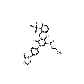 CCOC(=O)c1cn(-c2ccc(N3CCOC3=O)cc2)c(=O)n(Cc2cccc(F)c2C(F)(F)F)c1=O